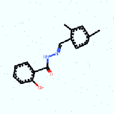 Cc1ccc(/C=N/NC(=O)c2ccccc2O)c(C)c1